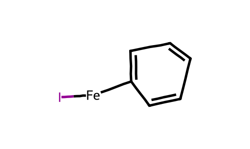 [I][Fe][c]1ccccc1